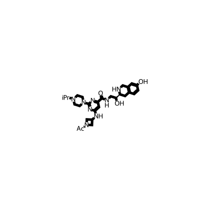 CC(=O)N1CC(Nc2cc(C(=O)NCC(O)[C@@H]3Cc4ccc(O)cc4CN3)nc(N3CCN(C(C)C)CC3)n2)C1